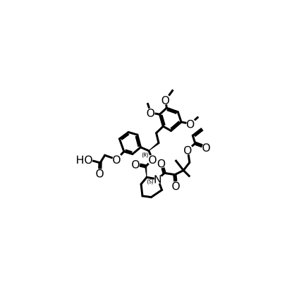 C=CC(=O)OCC(C)(C)C(=O)C(=O)N1CCCC[C@H]1C(=O)O[C@H](CCc1cc(OC)cc(OC)c1OC)c1cccc(OCC(=O)O)c1